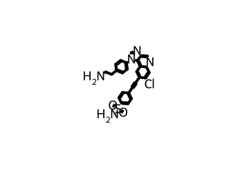 NCCc1ccc(-n2cnc3cnc4cc(Cl)c(C#Cc5ccc(S(N)(=O)=O)cc5)cc4c32)cc1